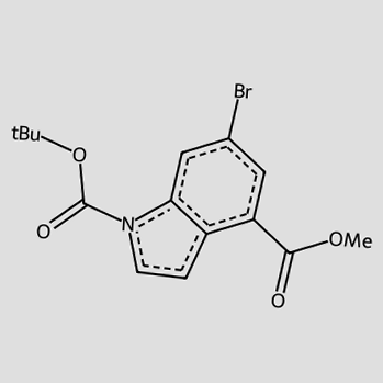 COC(=O)c1cc(Br)cc2c1ccn2C(=O)OC(C)(C)C